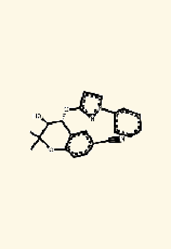 CC1(C)Oc2ccc(C#N)cc2[C@@H](Oc2ccn(-c3ccccc3)n2)[C@@H]1O